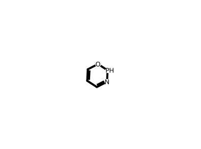 C1=COPN=C1